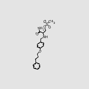 CS(=O)(=O)OCC(NCc1ccc(OCCCc2ccccc2)cc1)C(N)=O